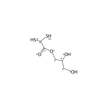 O=C(OCC(O)CO)C(S)S